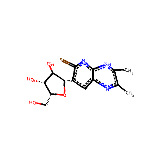 Cc1nc2cc([C@@H]3O[C@H](CO)[C@H](O)C3O)c(=S)nc-2[nH]c1C